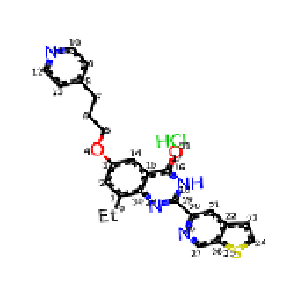 CCc1cc(OCCCc2ccncc2)cc2c(=O)[nH]c(-c3cc4ccsc4cn3)nc12.Cl